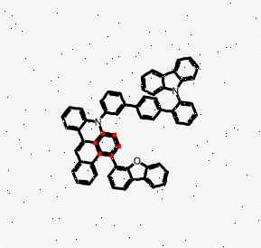 c1cc(-c2ccc(-c3ccccc3-n3c4ccccc4c4ccccc43)cc2)cc(N(c2ccc(-c3cccc4c3oc3ccccc34)cc2)c2ccccc2-c2cc3ccccc3c3ccccc23)c1